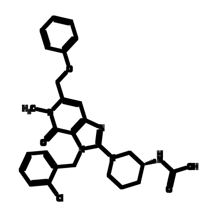 Cn1c(COc2ccccc2)cc2nc(N3CCC[C@@H](NC(=O)O)C3)n(Cc3ccccc3Cl)c2c1=O